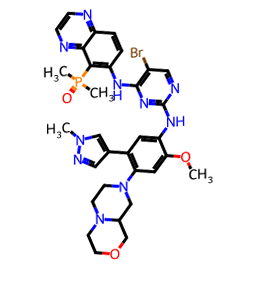 COc1cc(N2CCN3CCOCC3C2)c(-c2cnn(C)c2)cc1Nc1ncc(Br)c(Nc2ccc3nccnc3c2P(C)(C)=O)n1